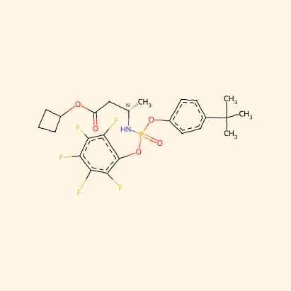 C[C@@H](CC(=O)OC1CCC1)NP(=O)(Oc1ccc(C(C)(C)C)cc1)Oc1c(F)c(F)c(F)c(F)c1F